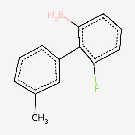 Bc1cccc(F)c1-c1cccc(C)c1